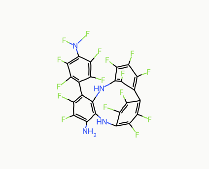 Nc1c(F)c(F)c(-c2c(F)c(F)c(N(F)F)c(F)c2F)c2c1Nc1c(F)c(F)c(c(F)c1F)-c1c(F)c(F)c(F)c(c1F)N2